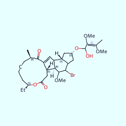 CC[C@H]1CCCC[C@@H](C)C(=O)C2=CC3[C@@H]4C[C@H](OC(O)/C(OC)=C(/C)OC)CC4C(Br)C(OC)[C@H]3[C@@H]2CC(=O)O1